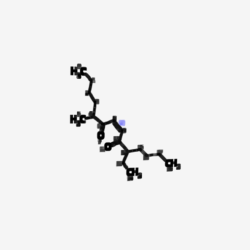 CCCCC(C)C(=O)/C=C\C(=O)C(CC)CCCC